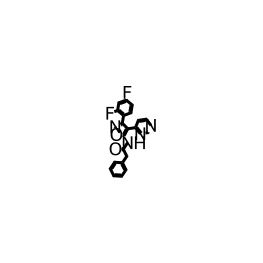 O=C(Cc1ccccc1)Nc1onc(-c2ccc(F)cc2F)c1-c1ccncn1